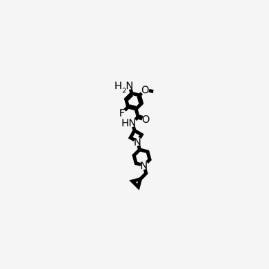 COc1cc(C(=O)NC2CN(C3CCN(CC4CC4)CC3)C2)c(F)cc1N